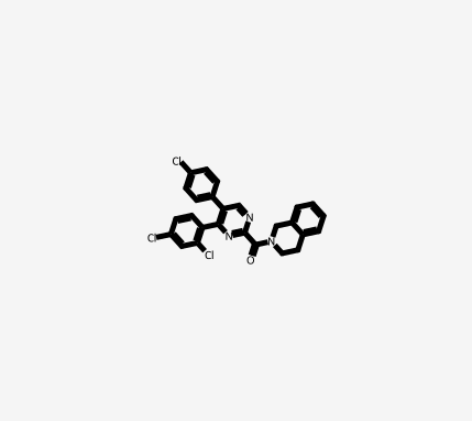 O=C(c1ncc(-c2ccc(Cl)cc2)c(-c2ccc(Cl)cc2Cl)n1)N1CCc2ccccc2C1